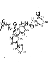 CN(C)C=NS(=O)(=O)c1cc(NC(=O)Cc2ccccc2Cl)ccc1-c1cncc(N2CCCC2)c1